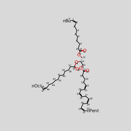 CCCC/C=C\CCCCCCCC(=O)OC[C@H](COC(=O)CCC/C=C\C/C=C\C/C=C\C/C=C\CCCCC)OC(=O)CCCCCCCCC/C=C\CCCCCCCC